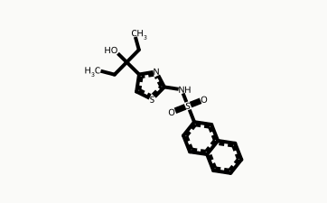 CCC(O)(CC)c1csc(NS(=O)(=O)c2ccc3ccccc3c2)n1